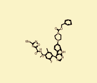 Cc1cc(-c2ncnc3[nH]c4cc(N5CCN(C(=O)OCc6ccccc6)CC5)ccc4c23)c(F)cc1[C@@H](C)NC(=O)c1nc(C(C)(C)C)no1